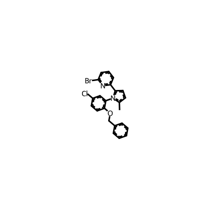 Cc1ccc(-c2cccc(Br)n2)n1-c1cc(Cl)ccc1OCc1ccccc1